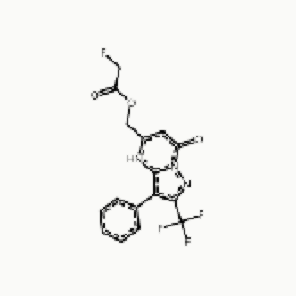 O=C(CF)OCc1cc(=O)n2nc(C(F)(F)F)c(-c3ccccc3)c2[nH]1